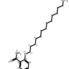 CCCCCCCCCCCCCCOc1ccccc1C(N)=O